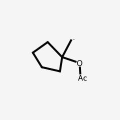 [CH2]C1(OC(C)=O)CCCC1